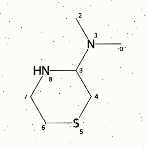 CN(C)C1CSCCN1